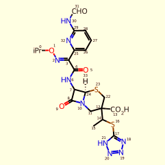 CC(C)ON=C(C(=O)NC1C(=O)N2CC(C(=O)O)(C(C)Sc3nnn[nH]3)CS[C@H]12)c1cccc(NC=O)n1